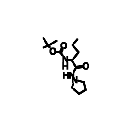 CCCC(NC(=O)OC(C)(C)C)C(=O)NN1CCCC1